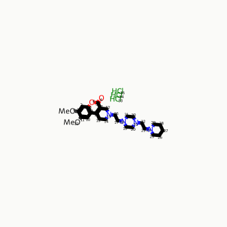 COc1cc2oc(=O)c3c(c2cc1OC)CCN(CCN1CCN(CCN2CCCCC2)CC1)C3.Cl.Cl.Cl